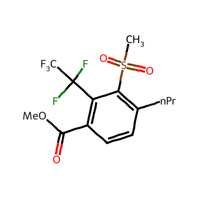 CCCc1ccc(C(=O)OC)c(C(F)(F)C(F)(F)F)c1S(C)(=O)=O